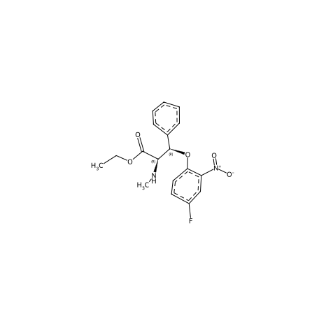 CCOC(=O)[C@H](NC)[C@H](Oc1ccc(F)cc1[N+](=O)[O-])c1ccccc1